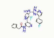 O=C(Cc1ccccc1)Nc1cncc(-c2ncc3[nH]nc(-c4nc5c(-c6ccc(F)cc6)ccnc5[nH]4)c3c2F)c1